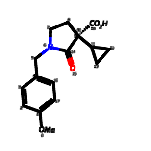 COc1ccc(CN2CC[C@@](C(=O)O)(C3CC3)C2=O)cc1